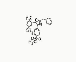 Cc1ccc(C)c(-c2oc(Cc3ccccc3)nc2-c2ccc(S(C)(=O)=O)cc2)c1